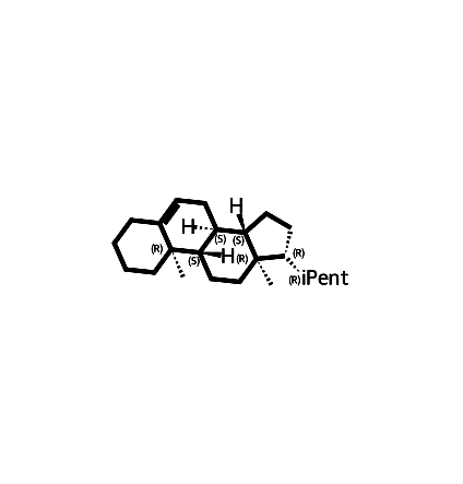 CCC[C@@H](C)[C@H]1CC[C@H]2[C@@H]3CC=C4CCCC[C@]4(C)[C@H]3CC[C@]12C